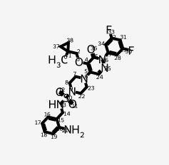 CC1(COc2c(N3CCN(S(=O)(=O)NCc4ccccc4N)CC3)cnn(-c3cc(F)cc(F)c3)c2=O)CC1